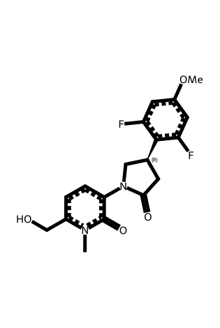 COc1cc(F)c([C@H]2CC(=O)N(c3ccc(CO)n(C)c3=O)C2)c(F)c1